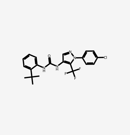 CC(C)(C)c1ccccc1NC(=O)Nc1cnn(-c2ccc(Cl)cc2)c1C(F)(F)F